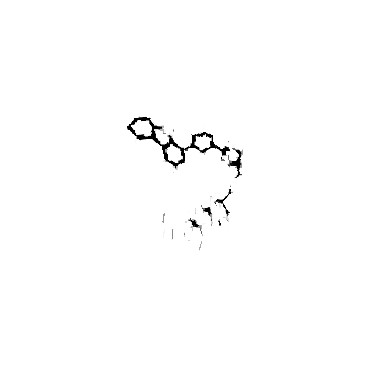 CC(C)(C)OC(=O)NC(C=O)CSCc1csc(-c2cccc(-c3cccc4c3oc3ccccc34)c2)n1